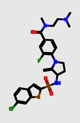 C=C1C(NS(=O)(=O)c2cc3ccc(Cl)cc3s2)CCN1c1ccc(C(=O)N(C)CCN(C)C)cc1F